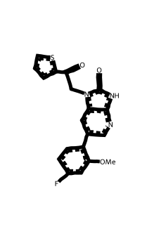 COc1cc(F)ccc1-c1cnc2[nH]c(=O)n(CC(=O)c3cccs3)c2c1